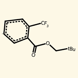 CC(C)(C)COC(=O)c1c[c]ccc1C(F)(F)F